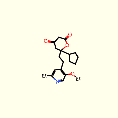 CCOc1cnc(CC)cc1CCC1(C2CCCC2)CC(=O)CC(=O)O1